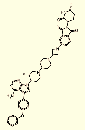 Nc1ncnc2c1c(-c1ccc(Oc3ccccc3)cc1)nn2C1CCN(C2CCN(C3CN(c4ccc5c(c4)C(=O)N(C4CCC(=O)NC4=O)C5=O)C3)CC2)C[C@H]1F